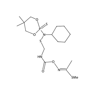 CSC(C)=NOC(=O)NCSN(C1CCCCC1)P1(=S)OCC(C)(C)CO1